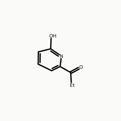 CCC(=O)c1cccc(O)n1